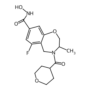 CC1COc2cc(C(=O)NO)cc(F)c2CN1C(=O)C1CCOCC1